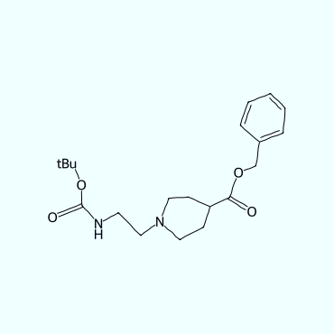 CC(C)(C)OC(=O)NCCN1CCC(C(=O)OCc2ccccc2)CC1